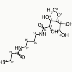 CO[C@H](C(O)CO)[C@H](O)C(O)C(=O)NCCCCNC(=O)CCS